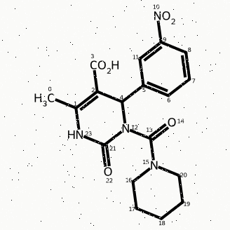 CC1=C(C(=O)O)C(c2cccc([N+](=O)[O-])c2)N(C(=O)N2CCCCC2)C(=O)N1